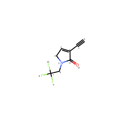 C#CC1=CCN(CC(F)(F)F)C1=O